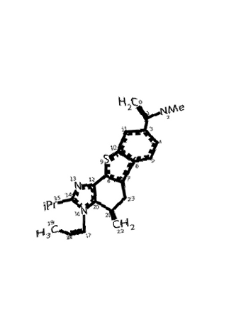 C=C(NC)c1ccc2c3c(sc2c1)-c1nc(C(C)C)n(/C=C\C)c1C(=C)C3